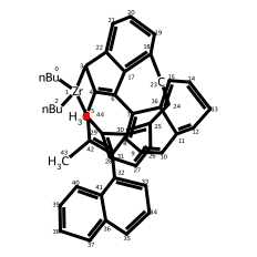 CCC[CH2][Zr]1([CH2]CCC)[CH]2C(C)=C(c3cccc4ccccc34)c3c(cccc32)CCc2cccc3c2C(c2cccc4ccccc24)=C(C)[CH]31